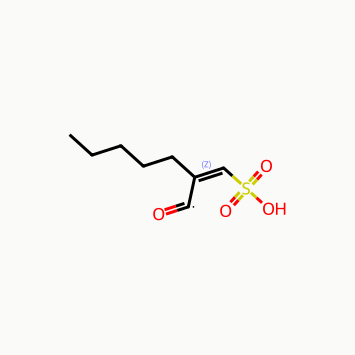 CCCCC/C([C]=O)=C/S(=O)(=O)O